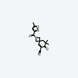 Cc1cc(C(=O)N2CC3(C=C(C#N)C(=O)C(C)(C)C3)C2)no1